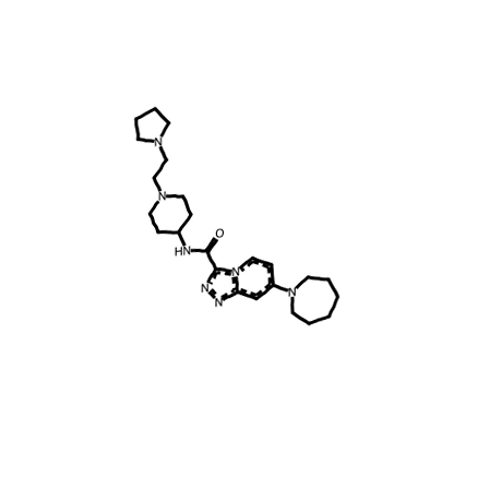 O=C(NC1CCN(CCN2CCCC2)CC1)c1nnc2cc(N3CCCCCC3)ccn12